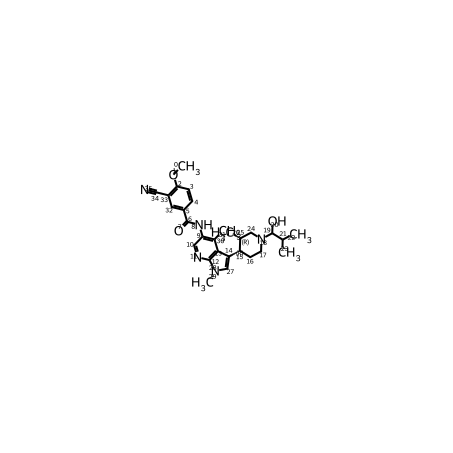 COc1ccc(C(=O)Nc2cnc3c(c([C@@H]4CCN(C(O)C(C)C)C[C@@H]4C)cn3C)c2C)cc1C#N